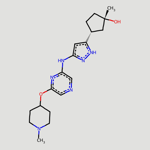 CN1CCC(Oc2cncc(Nc3cc([C@@H]4CC[C@](C)(O)C4)[nH]n3)n2)CC1